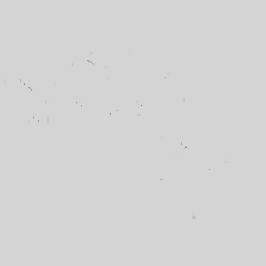 CN[C@@H](N)C(=O)NC1C(=O)N2C(C(=O)NC3CCCc4ccccc43)CC[C@@H]2O[C@@H]1C